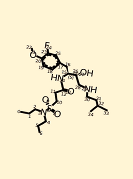 CCCN(CCC)S(=O)(=O)CCC(=O)N[C@@H](Cc1ccc(OC)c(F)c1)[C@H](O)CNCCC(C)C